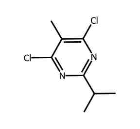 Cc1c(Cl)nc(C(C)C)nc1Cl